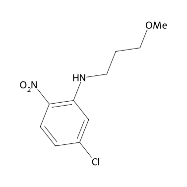 COCCCNc1cc(Cl)ccc1[N+](=O)[O-]